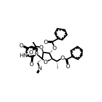 C=NC[C@@]1(n2ccc(=O)[nH]c2=O)O[C@H]([C@@H](C)OC(=O)c2ccccc2)[C@@H](OC(=O)c2ccccc2)[C@@H]1OC(C)=O